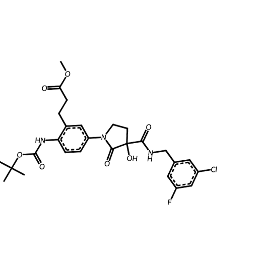 COC(=O)CCc1cc(N2CCC(O)(C(=O)NCc3cc(F)cc(Cl)c3)C2=O)ccc1NC(=O)OC(C)(C)C